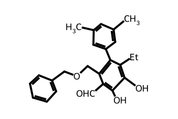 CCc1c(O)c(O)c(C=O)c(COCc2ccccc2)c1-c1cc(C)cc(C)c1